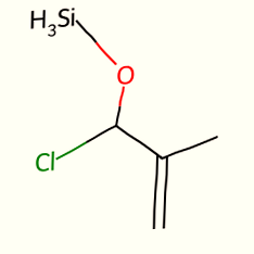 C=C(C)C(Cl)O[SiH3]